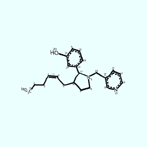 O=C(O)CC/C=C\CC1CCN(Cc2cccnc2)C1c1cccc(O)c1